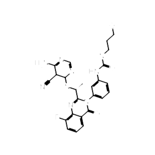 C[C@H](NC1N=CN=C(N)C1C#N)c1nc2c(F)cccc2c(=O)n1-c1cccc(NC(=O)NCCCO)c1